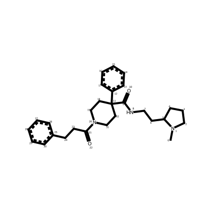 CN1CCCC1CCNC(=O)C1(c2ccccc2)CCN(C(=O)CCc2ccccc2)CC1